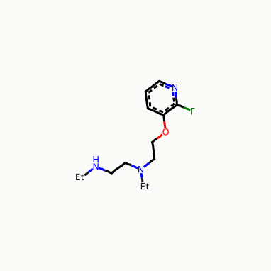 CCNCCN(CC)CCOc1cccnc1F